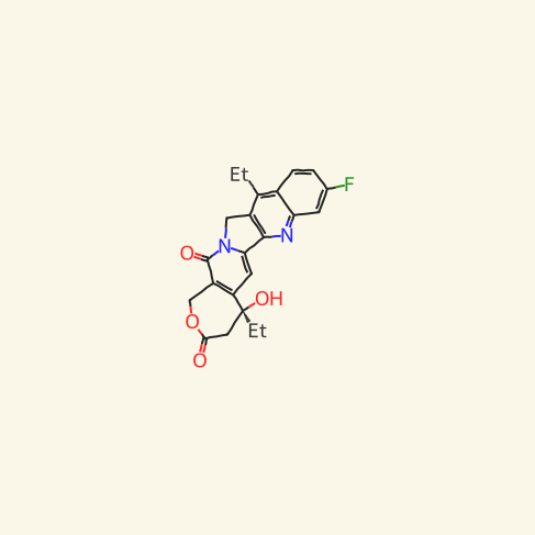 CCc1c2c(nc3cc(F)ccc13)-c1cc3c(c(=O)n1C2)COC(=O)C[C@]3(O)CC